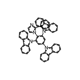 c1ccc(-c2nccn2-c2c(-n3c4ccccc4c4ccccc43)cc(-n3c4ccccc4c4ccccc43)cc2-n2c3ccccc3c3ccccc32)cc1